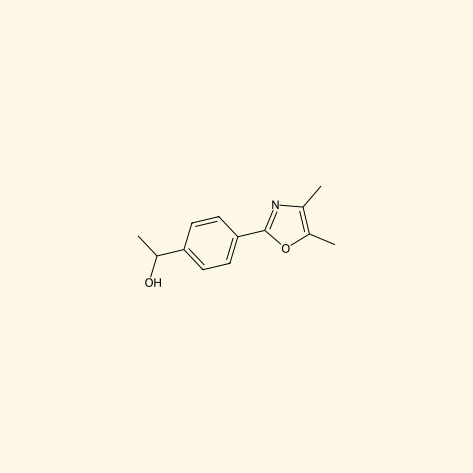 Cc1nc(-c2ccc(C(C)O)cc2)oc1C